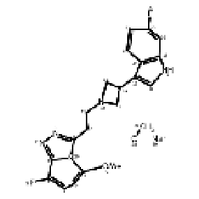 COc1ccc(F)c2nnc(CCN3CC(c4c[nH]c5cc(F)ccc45)C3)n12.C[O-].[Na+]